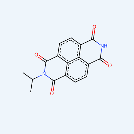 CC(C)N1C(=O)c2ccc3c4c(ccc(c24)C1=O)C(=O)NC3=O